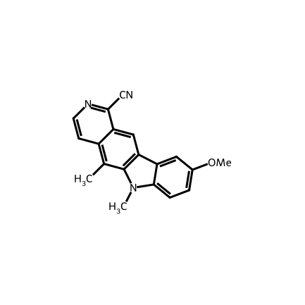 COc1ccc2c(c1)c1cc3c(C#N)nccc3c(C)c1n2C